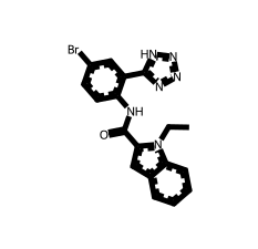 CCn1c(C(=O)Nc2ccc(Br)cc2-c2nnn[nH]2)cc2ccccc21